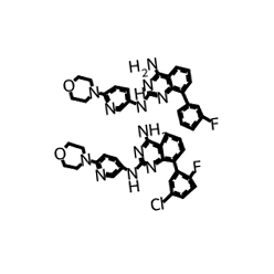 Nc1nc(Nc2ccc(N3CCOCC3)nc2)nc2c(-c3cc(Cl)ccc3F)cccc12.Nc1nc(Nc2ccc(N3CCOCC3)nc2)nc2c(-c3cccc(F)c3)cccc12